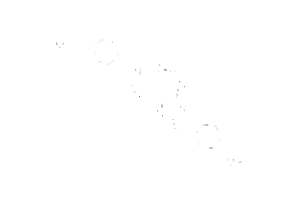 COc1ccc(CN2C(=O)N=C3C2=NC=NC2C3N=CN2Cc2ccc(OC)cc2)cc1